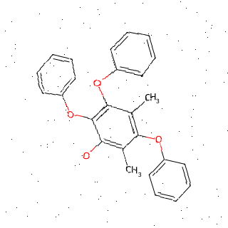 Cc1c([O])c(Oc2ccccc2)c(Oc2ccccc2)c(C)c1Oc1ccccc1